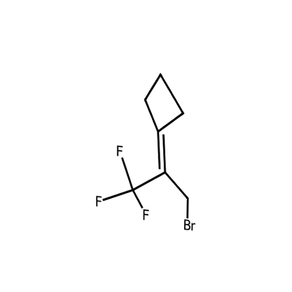 FC(F)(F)C(CBr)=C1CCC1